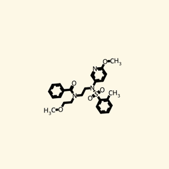 COCCN(CCN(c1ccc(OC)nc1)S(=O)(=O)c1ccccc1C)C(=O)c1ccccc1